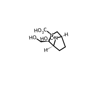 O=C(O)N1C[C@H]2CC[C@@H]([C@H]1CO)N2C(=O)O